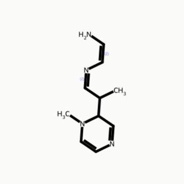 CC(/C=N\C=C/N)C1C=NC=CN1C